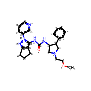 COCCN1CC(NC(=O)Nc2c3c(nn2-c2cccnc2)CCC3)C(c2ccccc2)C1